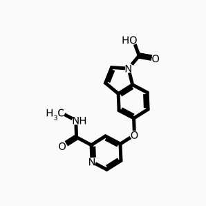 CNC(=O)c1cc(Oc2ccc3c(ccn3C(=O)O)c2)ccn1